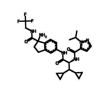 CC(C)n1nccc1C(=O)N[C@H](C(=O)Nc1ccc2c(c1)CCC2(N)C(=O)NCC(F)(F)F)C(C1CC1)C1CC1